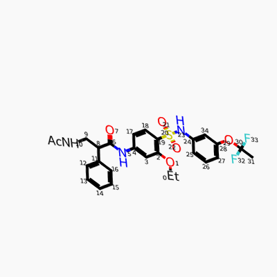 CCOc1cc(NC(=O)C(CNC(C)=O)c2ccccc2)ccc1S(=O)(=O)Nc1cccc(OC(C)(F)F)c1